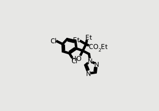 CCOC(=O)C(CC)(CC)C(O)(Cn1cncn1)c1ccc(Cl)cc1Cl